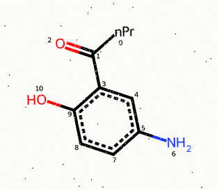 CCCC(=O)c1cc(N)ccc1O